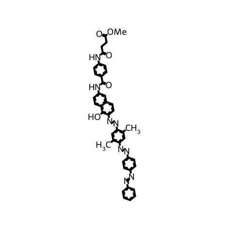 COC(=O)CCC(=O)Nc1ccc(C(=O)Nc2ccc3c(O)c(N=Nc4cc(C)c(N=Nc5ccc(N=Nc6ccccc6)cc5)cc4C)ccc3c2)cc1